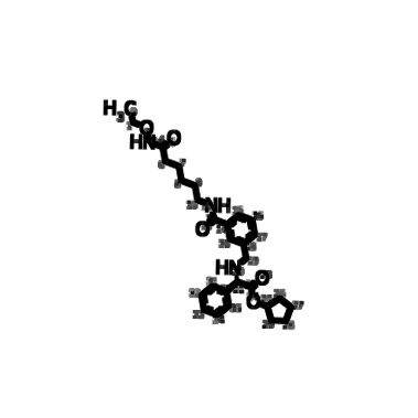 CCONC(=O)CCCCCNC(=O)c1cccc(CN[C@H](C(=O)OC2CCCC2)c2ccccc2)c1